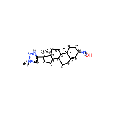 CCCCn1cc([C@]2(OC(C)=O)CCC3C4CCC5=C/C(=N\O)CC[C@]5(C)C4CC[C@@]32C)nn1